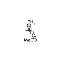 COC(=O)c1cc2c(cc1F)CCC(NS(=O)(=O)c1ccc(C)cc1)C2